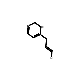 NC=CCC1=CC=NCN1